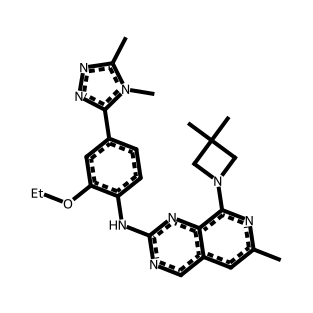 CCOc1cc(-c2nnc(C)n2C)ccc1Nc1ncc2cc(C)nc(N3CC(C)(C)C3)c2n1